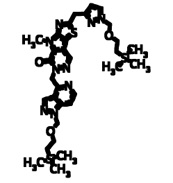 Cn1c2nc(Cc3ccn(COCC[Si](C)(C)C)n3)sc2c2cnn(Cc3nccc4c3cnn4COCC[Si](C)(C)C)c(=O)c21